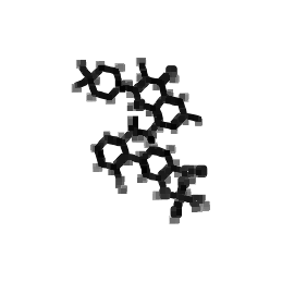 Cc1cc([C@@H](C)Nc2cccc(F)c2-c2ccc(C=O)c(OS(=O)(=O)C(F)(F)F)c2)c2oc(N3CCC(C)(C)CC3)c(C)c(=O)c2c1